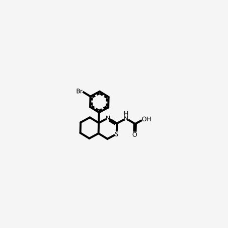 O=C(O)NC1=NC2(c3cccc(Br)c3)CCCCC2CS1